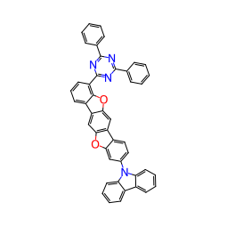 c1ccc(-c2nc(-c3ccccc3)nc(-c3cccc4c3oc3cc5c(cc34)oc3cc(-n4c6ccccc6c6ccccc64)ccc35)n2)cc1